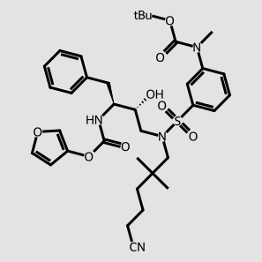 CN(C(=O)OC(C)(C)C)c1cccc(S(=O)(=O)N(C[C@@H](O)[C@H](Cc2ccccc2)NC(=O)Oc2ccoc2)CC(C)(C)CCCC#N)c1